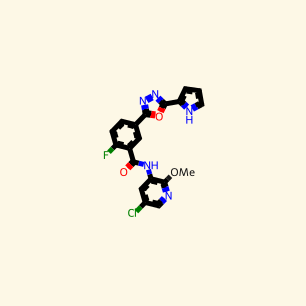 COc1ncc(Cl)cc1NC(=O)c1cc(-c2nnc(-c3ccc[nH]3)o2)ccc1F